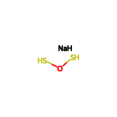 SOS.[NaH]